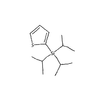 CC(C)[Si](c1cccs1)(C(C)C)C(C)C